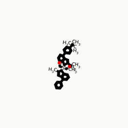 CC[Si](CC)(C1C(C)=Cc2c(-c3ccccc3)cccc21)C1C(C(C)C)=Cc2c(-c3ccc(C(C)(C)C)cc3)cccc21